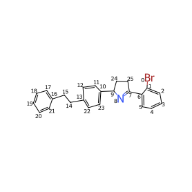 Brc1ccccc1C1=NC(c2ccc(CCc3ccccc3)cc2)CC1